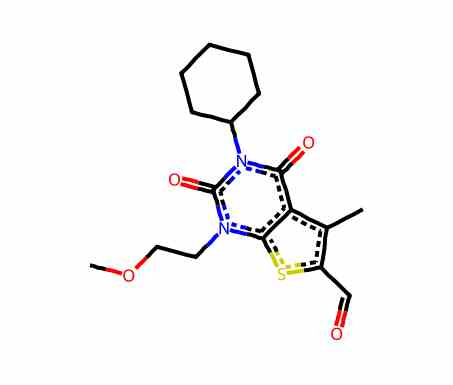 COCCn1c(=O)n(C2CCCCC2)c(=O)c2c(C)c(C=O)sc21